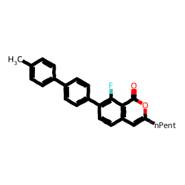 CCCCCc1cc2ccc(-c3ccc(-c4ccc(C)cc4)cc3)c(F)c2c(=O)o1